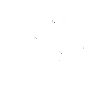 CC1(C)CN(C(=O)c2ccc(F)c(F)c2)C=C(C(N)=O)c2[nH]ncc21